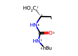 CCCCNC(=O)N[C@@H](C)C(=O)O